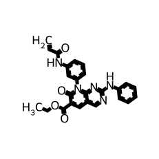 C=CC(=O)Nc1cccc(-n2c(=O)c(C(=O)OCC)cc3cnc(Nc4ccccc4)nc32)c1